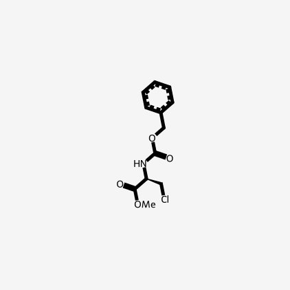 COC(=O)[C@H](CCl)NC(=O)OCc1ccccc1